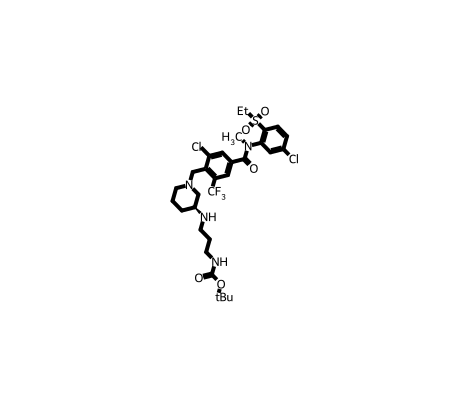 CCS(=O)(=O)c1ccc(Cl)cc1N(C)C(=O)c1cc(Cl)c(CN2CCC[C@H](NCCCNC(=O)OC(C)(C)C)C2)c(C(F)(F)F)c1